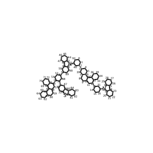 c1cc(-c2ccc3c(ccc4cc(-c5cccc(-n6c7ccccc7c7ccccc76)c5)c5ccccc5c43)c2)cc(-n2c3ccccc3c3cc(-c4ccc(-c5cc6ccc7ccccc7c6c6ccccc56)c(-c5ccc6sc7ccccc7c6c5)c4)ccc32)c1